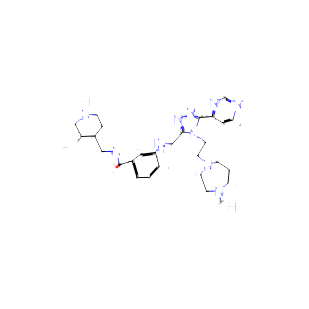 CCC1CNCCC1CNC(=O)c1cccc(NCc2nnc(-c3ccncn3)n2CCN2CCCN(C)CC2)c1